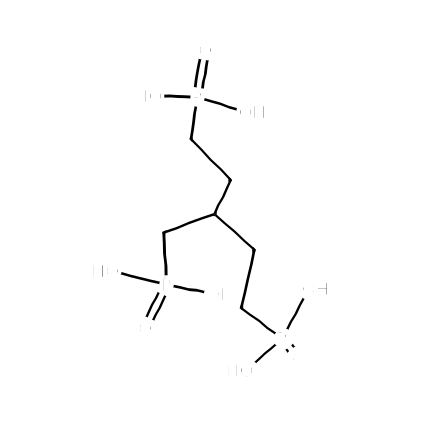 O=P(O)(O)CCC(CCP(=O)(O)O)CP(=O)(O)O